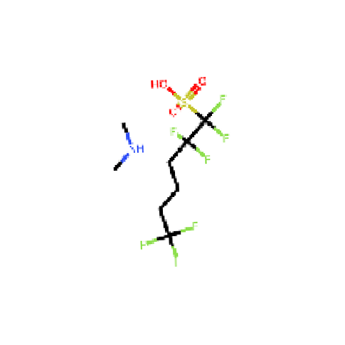 CNC.O=S(=O)(O)C(F)(F)C(F)(F)CCCC(F)(F)F